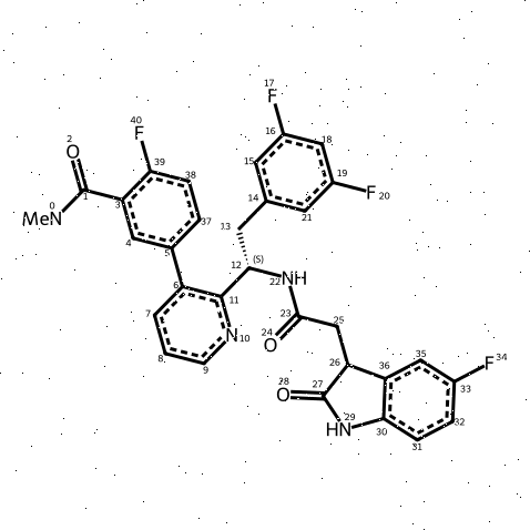 CNC(=O)c1cc(-c2cccnc2[C@H](Cc2cc(F)cc(F)c2)NC(=O)CC2C(=O)Nc3ccc(F)cc32)ccc1F